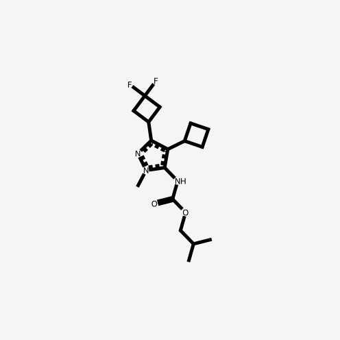 CC(C)COC(=O)Nc1c(C2CCC2)c(C2CC(F)(F)C2)nn1C